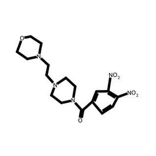 O=C(c1ccc([N+](=O)[O-])c([N+](=O)[O-])c1)N1CCN(CCN2CCOCC2)CC1